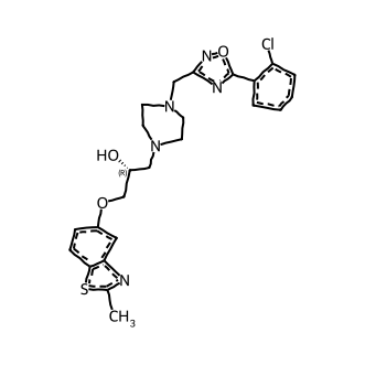 Cc1nc2cc(OC[C@H](O)CN3CCN(Cc4noc(-c5ccccc5Cl)n4)CC3)ccc2s1